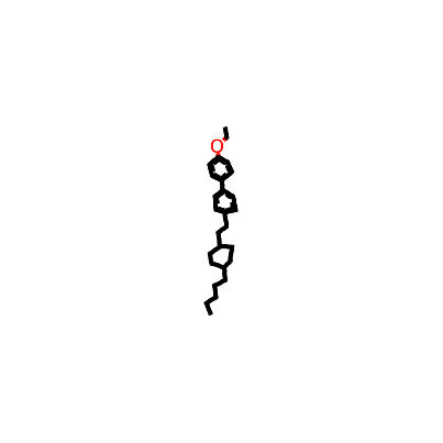 CCCCCC1CCC(CCc2ccc(-c3ccc(OCC)cc3)cc2)CC1